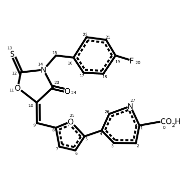 O=C(O)c1ccc(-c2ccc(C=C3OC(=S)N(Cc4ccc(F)cc4)C3=O)o2)cn1